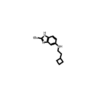 CC(C)(C)c1nc2cc(NCCC3CCC3)ccc2[nH]1